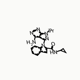 CC(C)n1nc(-n2c(C(=O)NC3CC3)cc3ccccc32)c2c(N)ncnc21